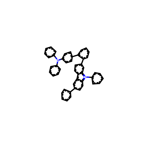 c1ccc(-c2ccc3c(c2)c2ccc(-c4ccccc4-c4ccc(N(c5ccccc5)c5ccccc5)cc4)cc2n3-c2ccccc2)cc1